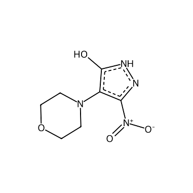 O=[N+]([O-])c1n[nH]c(O)c1N1CCOCC1